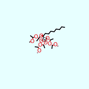 CCCCCCCCC(=O)[Si](OC(C)OC(C)OC)(OC(C)OC(C)OC)OC(C)(C)OC(C)OC